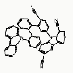 N#Cc1ccc2c(c1)c1cccc(C#N)c1n2-c1ccc(C#N)c(-c2ccccc2-c2ccccc2-n2c3ccccc3c3ccccc32)c1